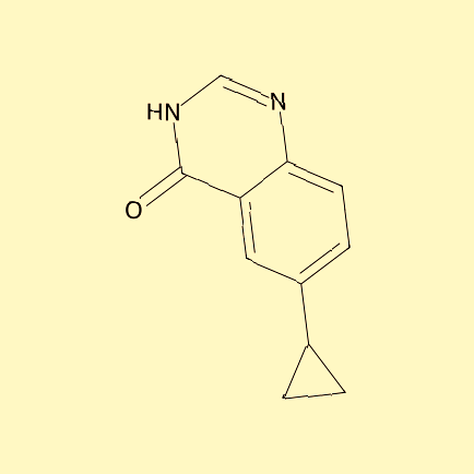 O=c1[nH]cnc2ccc(C3CC3)cc12